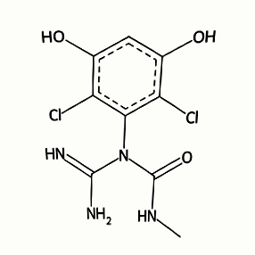 CNC(=O)N(C(=N)N)c1c(Cl)c(O)cc(O)c1Cl